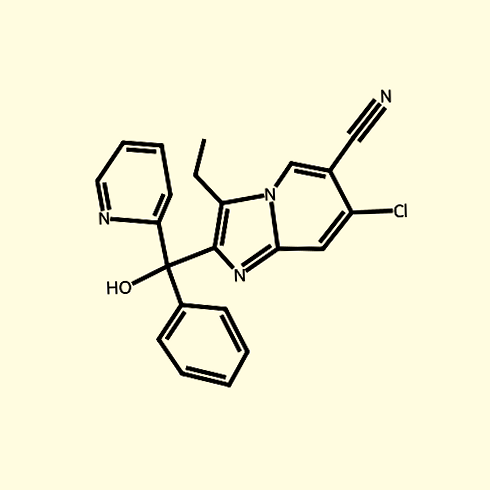 CCc1c(C(O)(c2ccccc2)c2ccccn2)nc2cc(Cl)c(C#N)cn12